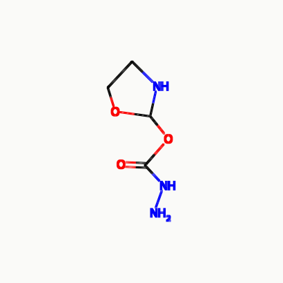 NNC(=O)OC1NCCO1